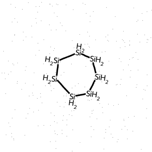 [SiH2]1[SiH2][SiH2][SiH2][SiH2][SiH2][SiH2]1